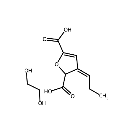 CCC=C1C=C(C(=O)O)OC1C(=O)O.OCCO